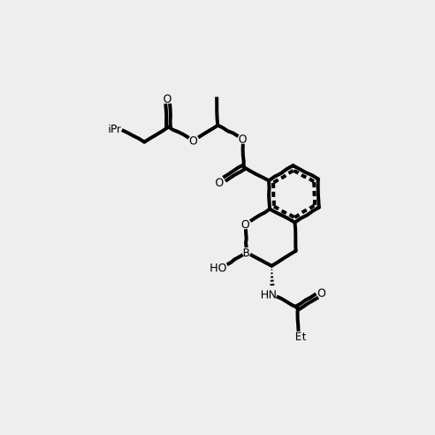 CCC(=O)N[C@H]1Cc2cccc(C(=O)OC(C)OC(=O)CC(C)C)c2OB1O